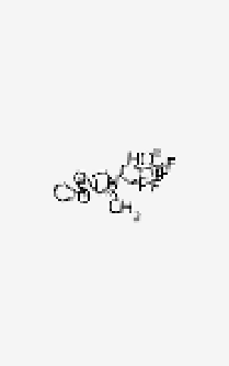 CC[C@H]1CN(S(=O)(=O)c2ccccc2)CCN1c1ccc(C(O)(C(F)(F)F)C(F)(F)F)cc1